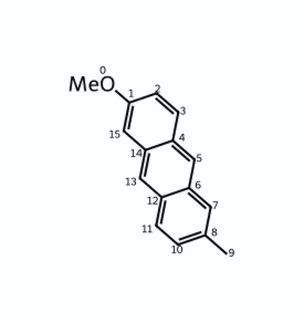 COc1ccc2cc3cc(C)ccc3cc2c1